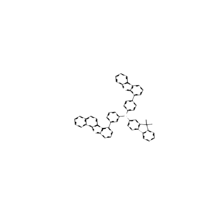 CC1(C)c2ccccc2-c2ccc(N(c3ccc(-c4cccc5c4oc4ccccc45)cc3)c3cccc(-c4cccc5oc6c7ccccc7ccc6c45)c3)cc21